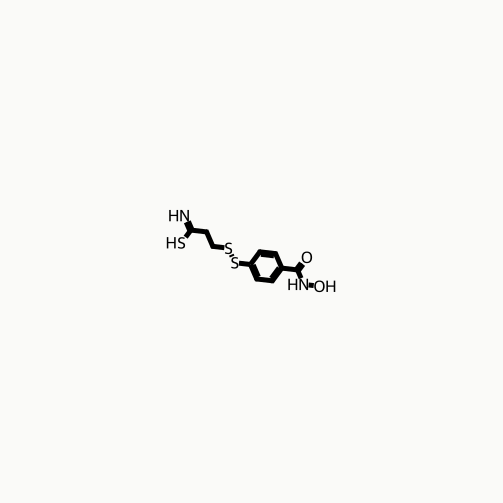 N=C(S)CCSSc1ccc(C(=O)NO)cc1